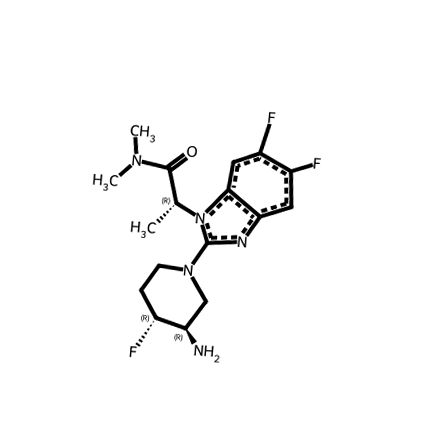 C[C@H](C(=O)N(C)C)n1c(N2CC[C@@H](F)[C@H](N)C2)nc2cc(F)c(F)cc21